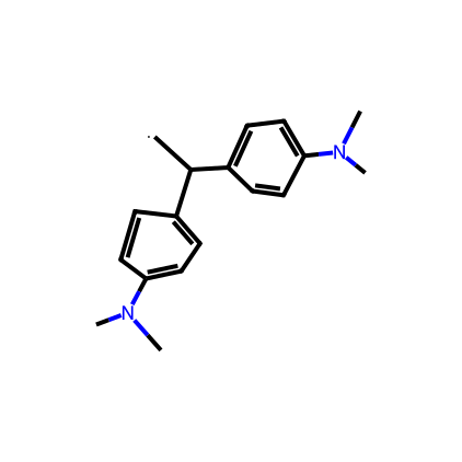 [CH2]C(c1ccc(N(C)C)cc1)c1ccc(N(C)C)cc1